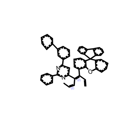 C=C/C(=C(\C=C/C)c1cc(-c2cccc(-c3ccccc3)c2)nc(-c2ccccc2)n1)c1cccc2c1Oc1ccccc1C21c2ccccc2-c2ccccc21